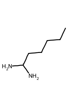 CCCCC[C](N)N